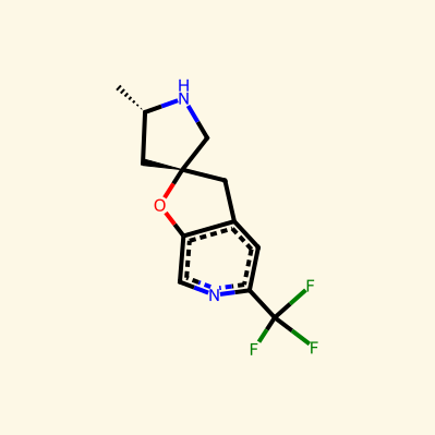 C[C@H]1C[C@@]2(CN1)Cc1cc(C(F)(F)F)ncc1O2